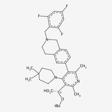 Cc1nc(C)c([C@H](OC(C)(C)C)C(=O)O)c(N2CCC(C)(C)CC2)c1-c1ccc2c(c1)CCN(Cc1c(F)cc(F)cc1F)C2